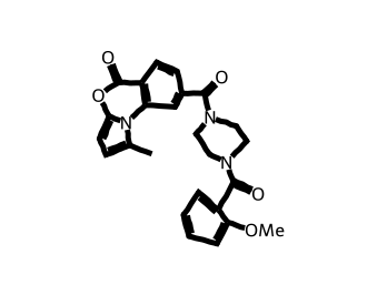 COc1ccccc1C(=O)N1CCN(C(=O)c2ccc3c(=O)oc4ccc(C)n4c3c2)CC1